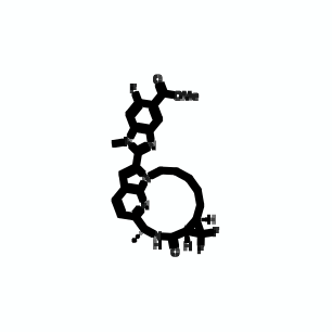 COC(=O)c1cc2nc(-c3cc4ccc5nc4n3CCCCC[C@@H]3[C@@H](C(=O)N[C@@H]5C)C3(F)F)n(C)c2cc1F